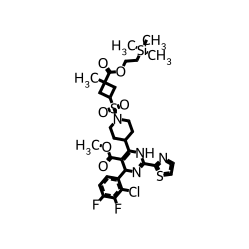 COC(=O)C1=C(C2CCN(S(=O)(=O)C3CC(C)(C(=O)OCC[Si](C)(C)C)C3)CC2)NC(c2nccs2)=NC1c1ccc(F)c(F)c1Cl